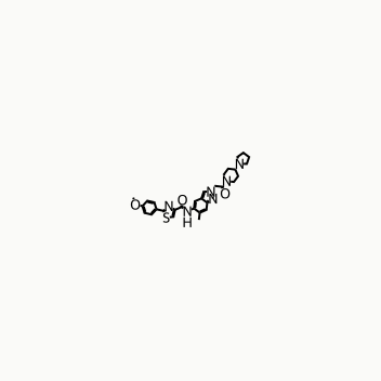 COc1ccc(-c2nc(C(=O)Nc3cc4cn(CC(=O)N5CCC(N6CCCC6)CC5)nc4cc3C)cs2)cc1